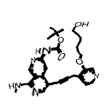 CNc1ncc(C#Cc2ccncc2OCCCCO)c2cc(NC(=O)OC(C)(C)C)ncc12